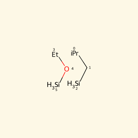 CC(C)C[SiH3].CCO[SiH3]